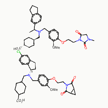 COc1cc(CN(CC2CCC(C(=O)O)CC2)[C@H]2CCc3cc(Cl)ccc32)ccc1OCCN1C(=O)C2CC2C1=O.COc1cc(CN(C[C@H]2CC[C@H](C(=O)O)CC2)C(C)c2ccc3c(c2)CCC3)ccc1OCCN1C(=O)CN(C)C1=O